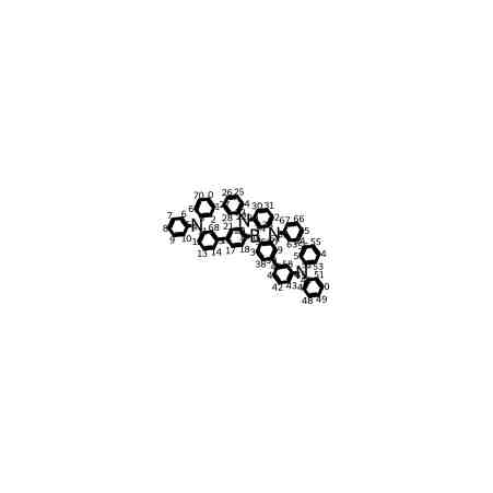 c1ccc(N(c2ccccc2)c2cccc(-c3ccc4c(c3)N(c3ccccc3)c3cccc5c3B4c3ccc(-c4cccc(N(c6ccccc6)c6ccccc6)c4)cc3N5c3ccccc3)c2)cc1